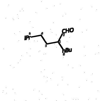 CCCCC(C=O)CCC(C)C